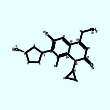 Cc1c(N2CC[C@H](O)C2)c(F)cc2c(CN)cc(=O)n(C3CC3)c12